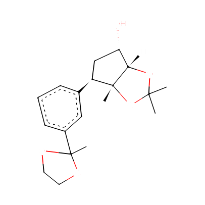 CC1(C)O[C@@H]2[C@H](O1)[C@@H](c1cccc(C3(C)OCCO3)c1)C[C@@H]2O